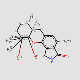 COc1cc2c(c3c1C(=O)NC3)O[C@@]13CC(O)C(O)C(C)(C)[C@@H]1CC[C@H](C)[C@@]3(C)C2